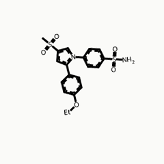 CCOc1ccc(-c2cc(S(C)(=O)=O)cn2-c2ccc(S(N)(=O)=O)cc2)cc1